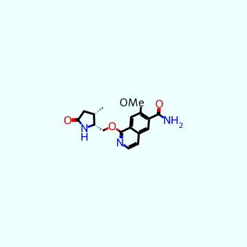 COc1cc2c(OC[C@@H]3NC(=O)C[C@@H]3C)nccc2cc1C(N)=O